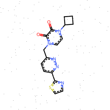 O=c1c(=O)n(C2CCC2)ccn1Cc1ccc(-c2nccs2)nn1